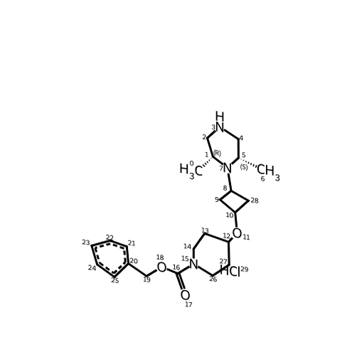 C[C@@H]1CNC[C@H](C)N1C1CC(OC2CCN(C(=O)OCc3ccccc3)CC2)C1.Cl